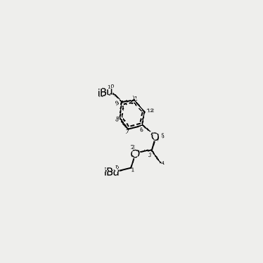 CCC(C)COC(C)Oc1ccc(C(C)CC)cc1